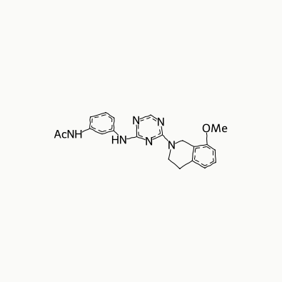 COc1cccc2c1CN(c1ncnc(Nc3cccc(NC(C)=O)c3)n1)CC2